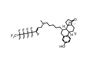 CN(C/C=C(\F)C(F)(F)C(F)(F)C(F)(F)C(F)(F)C(F)(F)F)CCCCC[C@@H]1Cc2cc(O)ccc2[C@@H]2[C@@H]1[C@@H]1CCC(=O)[C@@]1(C)C[C@@H]2F